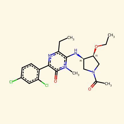 CCO[C@H]1CN(C(C)=O)C[C@H]1Nc1c(CC)nc(-c2ccc(Cl)cc2Cl)c(=O)n1C